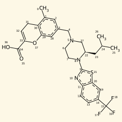 Cc1cc(CN2CCN(c3nc4ccc(C(F)(F)F)cc4s3)[C@H](CC(C)C)C2)cc2c1CC=C(C(=O)O)O2